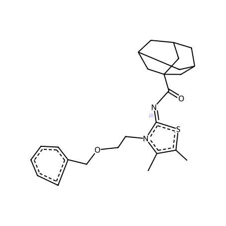 Cc1s/c(=N\C(=O)C23CC4CC(CC(C4)C2)C3)n(CCOCc2ccccc2)c1C